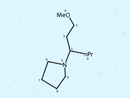 CCCC(CCOC)N1CCCC1